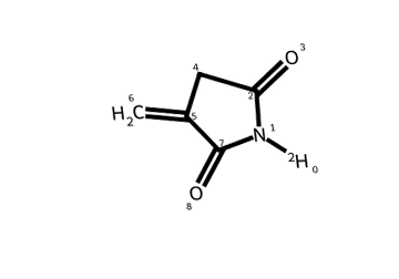 [2H]N1C(=O)CC(=C)C1=O